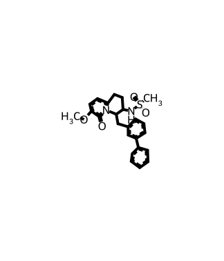 COc1ccc2n(c1=O)C(Cc1cccc(-c3ccccc3)c1)C(NS(C)(=O)=O)CC2